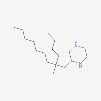 CCCCCCCC(C)(CCCC)CC1CNCCN1